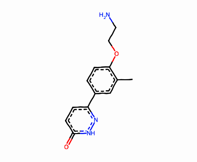 Cc1cc(-c2ccc(=O)[nH]n2)ccc1OCCN